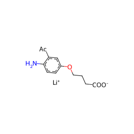 CC(=O)c1cc(OCCCC(=O)[O-])ccc1N.[Li+]